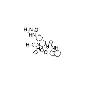 C[C@H](NC(=O)C(Cc1ccc(NC(N)=O)cc1)N1C(=O)NC2(CCc3ccccc32)C1=O)C1CCC1